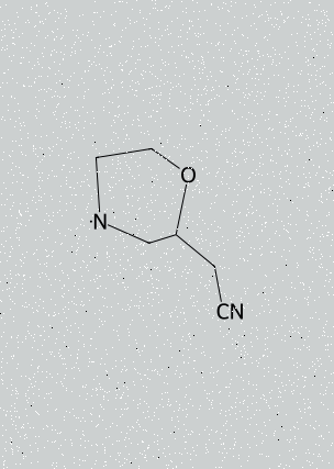 N#CCC1C[N]CCO1